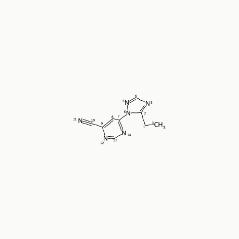 CCc1ncnn1-c1cc(C#N)ncn1